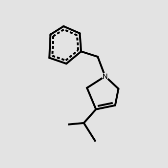 CC(C)C1=CCN(Cc2ccccc2)C1